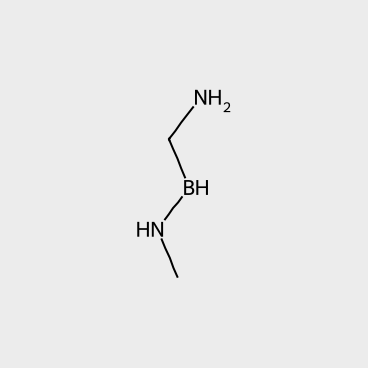 CNBCN